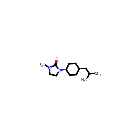 CC(C)C[C@H]1CC[C@@H](N2CCN(C)C2=O)CC1